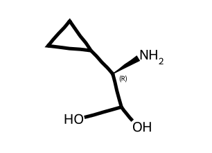 N[C@@H](C(O)O)C1CC1